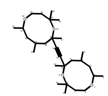 CC1CC(C)OCCC(C)(C)OC(C)(C#CC2(C)CC(C)CC(C)OCCC(C)(C)O2)C1